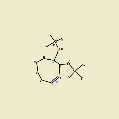 C[Si](C)(C)OC1/C=C\CCCCC1O[Si](C)(C)C